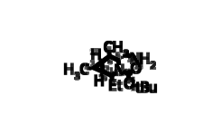 CCC1[C@H]2[C@@H](C)[C@H]2C(C)[C@H](CN)N1C(=O)OC(C)(C)C